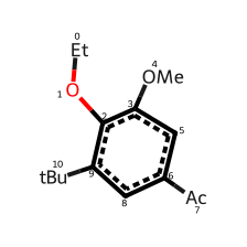 CCOc1c(OC)cc(C(C)=O)cc1C(C)(C)C